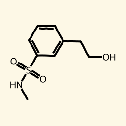 CNS(=O)(=O)c1cccc(CCO)c1